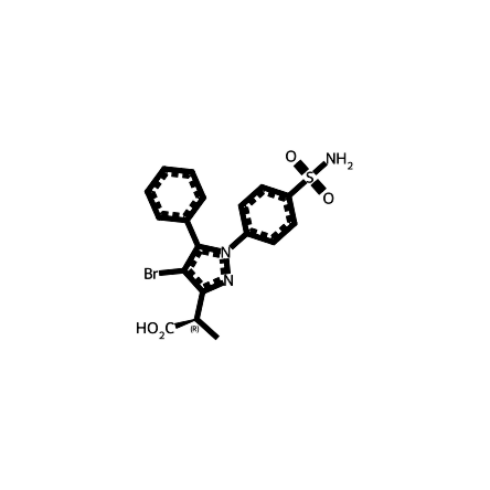 C[C@@H](C(=O)O)c1nn(-c2ccc(S(N)(=O)=O)cc2)c(-c2ccccc2)c1Br